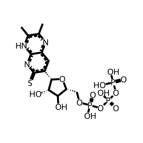 Cc1nc2cc([C@@H]3O[C@H](COP(=O)(O)OP(=O)(O)OP(=O)(O)O)C(O)[C@@H]3O)c(=S)nc-2[nH]c1C